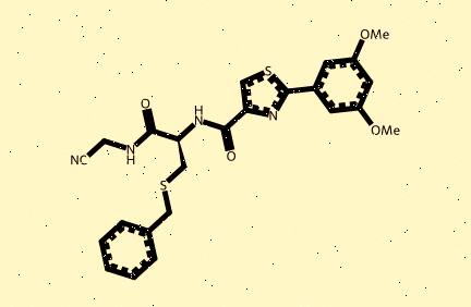 COc1cc(OC)cc(-c2nc(C(=O)N[C@@H](CSCc3ccccc3)C(=O)NCC#N)cs2)c1